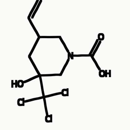 C=CC1CN(C(=O)O)CC(O)(C(Cl)(Cl)Cl)C1